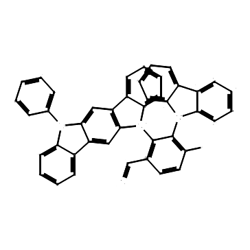 Cc1ccc(C=N)c(-n2c3ccccc3c3cc4c(cc32)c2ccccc2n4-c2ccccc2)c1-n1c2ccccc2c2ccccc21